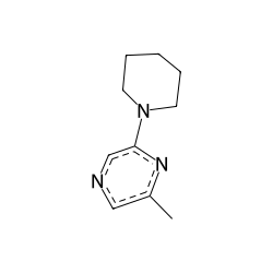 Cc1cncc(N2CCCCC2)n1